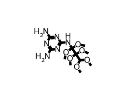 COC(OC)C(OC)(OC)C(Nc1nc(N)nc(N)n1)(OC)OC